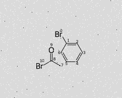 Brc1ccccc1.CC(=O)Br